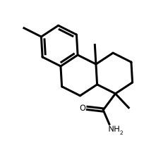 Cc1ccc2c(c1)CCC1C(C)(C(N)=O)CCCC21C